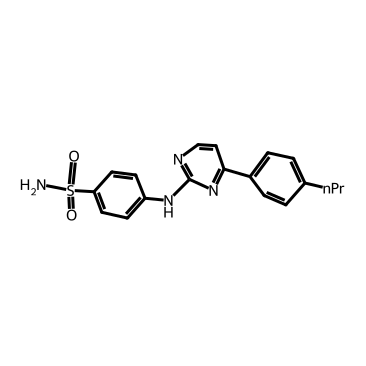 CCCc1ccc(-c2ccnc(Nc3ccc(S(N)(=O)=O)cc3)n2)cc1